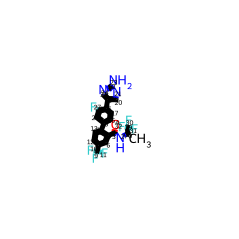 C[C@@H](NC(=O)c1cc(C(F)(F)F)ccc1-c1ccc(-c2cnc(N)nc2)c(F)c1)C(F)(F)F